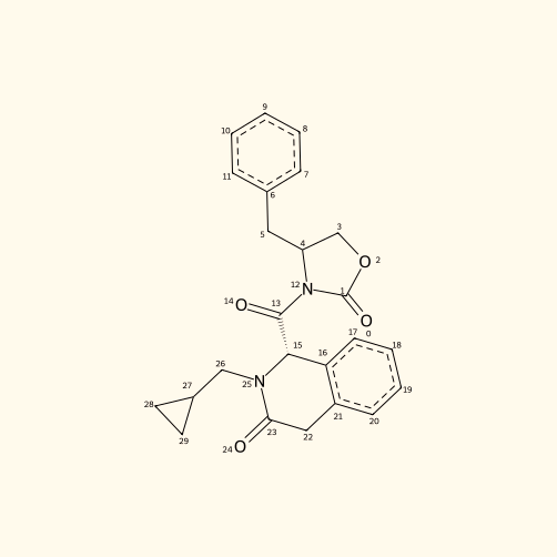 O=C1OCC(Cc2ccccc2)N1C(=O)[C@@H]1c2ccccc2CC(=O)N1CC1CC1